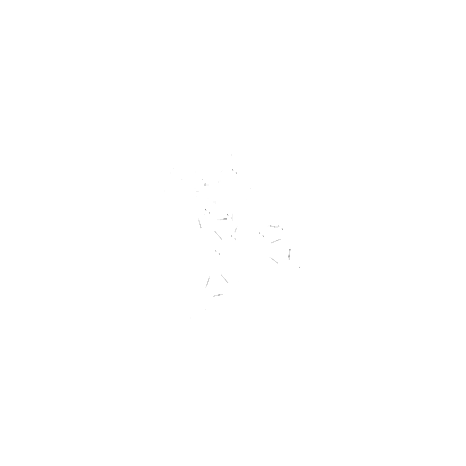 COc1ccc(CNc2ncnc3c2ccn3[C@@H]2C[C@H](CN(C(C)C)C3CC(CCc4nc5cc(C(F)(F)F)c(Cl)cc5[nH]4)C3)[C@H]3OC(C)(C)O[C@H]32)c(C)c1